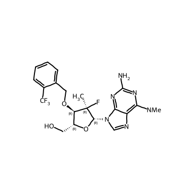 CNc1nc(N)nc2c1ncn2[C@@H]1O[C@H](CO)[C@@H](OCc2ccccc2C(F)(F)F)[C@@]1(C)F